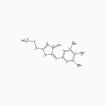 CC(C)(C)c1cc(/C=C2/SC(SCC(=O)O)=NC2=O)cc(C(C)(C)C)c1O